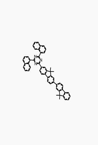 CC1(C)c2ccccc2-c2ccc(-c3ccc4c(c3)C(C)(C)c3cc(-c5nc(-c6cccc7ccccc67)nc(-c6cccc7ccccc67)n5)ccc3-4)cc21